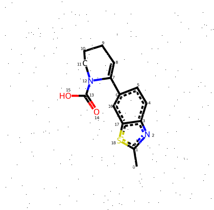 Cc1nc2ccc(C3=CCCCN3C(=O)O)cc2s1